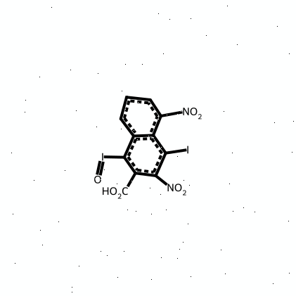 O=Ic1c(C(=O)O)c([N+](=O)[O-])c(I)c2c([N+](=O)[O-])cccc12